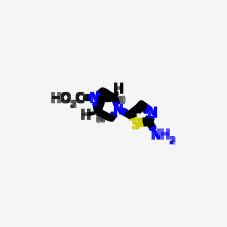 Nc1ncc(N2C[C@@H]3C[C@H]2CN3C(=O)O)s1